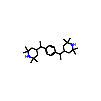 CC(c1ccc(C(C)C2CC(C)(C)NC(C)(C)C2)cc1)C1CC(C)(C)NC(C)(C)C1